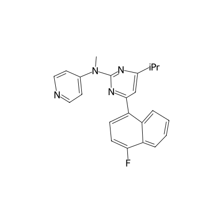 CC(C)c1cc(-c2ccc(F)c3ccccc23)nc(N(C)c2ccncc2)n1